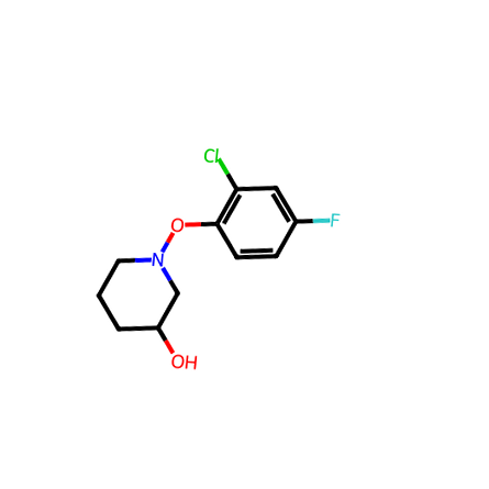 OC1CCCN(Oc2ccc(F)cc2Cl)C1